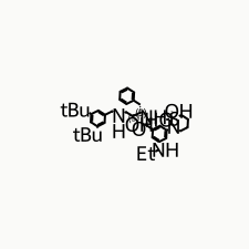 CCNc1cc(C(=O)N[C@@H](Cc2ccccc2)[C@@H](O)CNCc2cc(C(C)(C)C)cc(C(C)(C)C)c2)cc(N2CCCCS2(O)O)c1